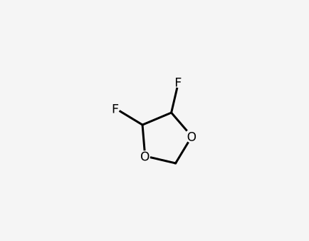 FC1OCOC1F